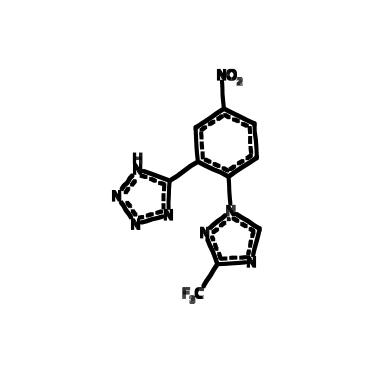 O=[N+]([O-])c1ccc(-n2cnc(C(F)(F)F)n2)c(-c2nnn[nH]2)c1